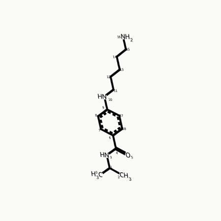 CC(C)NC(=O)c1ccc(NCCCCCN)cc1